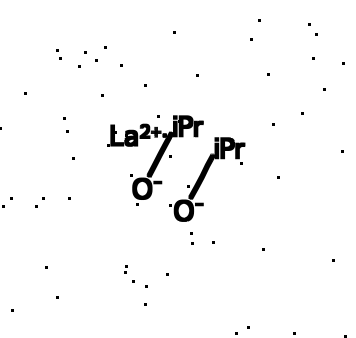 CC(C)[O-].CC(C)[O-].[La+2]